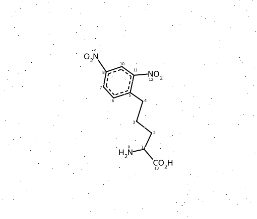 NC(CCCc1ccc([N+](=O)[O-])cc1[N+](=O)[O-])C(=O)O